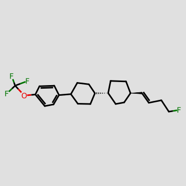 FCC/C=C/[C@H]1CC[C@H](C2CCC(c3ccc(OC(F)(F)F)cc3)CC2)CC1